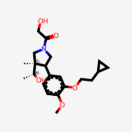 COc1ccc(C2CN(C(=O)CO)C[C@]2(C)[C@@H](C)O)cc1OCCC1CC1